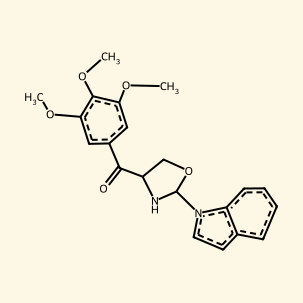 COc1cc(C(=O)C2COC(n3ccc4ccccc43)N2)cc(OC)c1OC